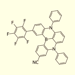 N#Cc1ccc2c(c1)N(c1ccccc1)c1cccc3c1B2c1cc(-c2c(F)c(F)c(F)c(F)c2F)ccc1N3c1ccccc1